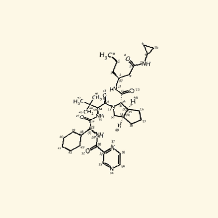 CCC[C@@H](CC(=O)NC1CC1)NC(=O)[C@@H]1[C@H]2CCC[C@H]2CN1C(=O)[C@@H](NC(=O)[C@@H](NC(=O)c1cnccn1)C1CCCCC1)C(C)(C)C